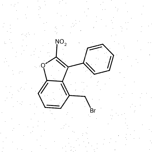 O=[N+]([O-])c1oc2cccc(CBr)c2c1-c1ccccc1